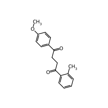 COc1ccc(C(=O)CCC(=O)c2ccccc2C)cc1